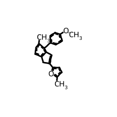 COc1ccc(-c2c(C)ccc3c2C=C(c2ccc(C)o2)C3)cc1